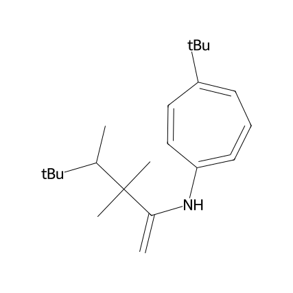 C=C(NC1=C=CC=C(C(C)(C)C)C=C1)C(C)(C)C(C)C(C)(C)C